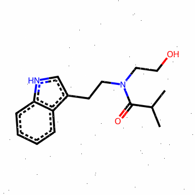 CC(C)C(=O)N(CCO)CCc1c[nH]c2ccccc12